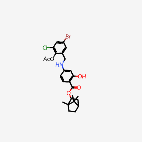 CC(=O)Oc1c(Cl)cc(Br)cc1CNc1ccc(C(=O)OC2CC3CCC2(C)C3(C)C)c(O)c1